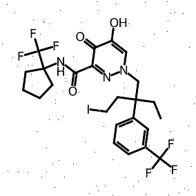 CCC(CCI)(Cn1cc(O)c(=O)c(C(=O)NC2(C(F)(F)F)CCCC2)n1)c1cccc(C(F)(F)F)c1